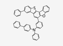 c1ccc(-c2ccc(N(c3ccccc3)c3cccc(-c4cc5c6cc(-c7ccccc7)ccc6sc5c5c4oc4ccccc45)c3)cc2)cc1